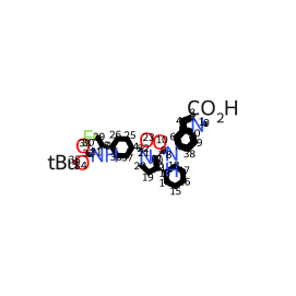 Cn1c(C(=O)O)cc2cc(NC(=O)[C@@H]3[C@H](C4CCCCC4)CCN3C(=O)[C@H]3CC[C@H](C(CF)NC(=O)OC(C)(C)C)CC3)ccc21